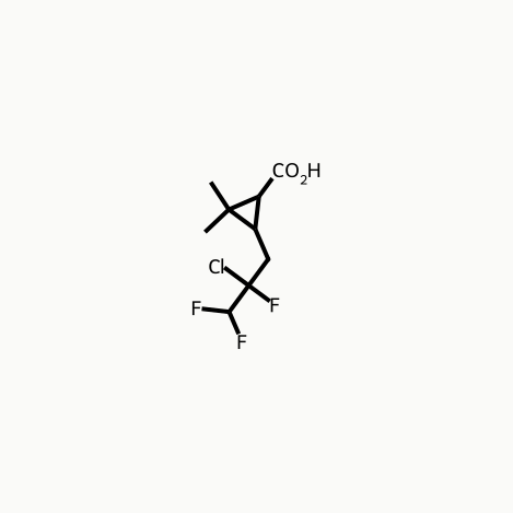 CC1(C)C(CC(F)(Cl)C(F)F)C1C(=O)O